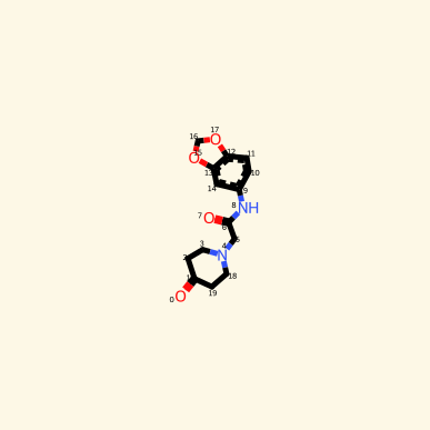 O=C1CCN(CC(=O)Nc2ccc3c(c2)OCO3)CC1